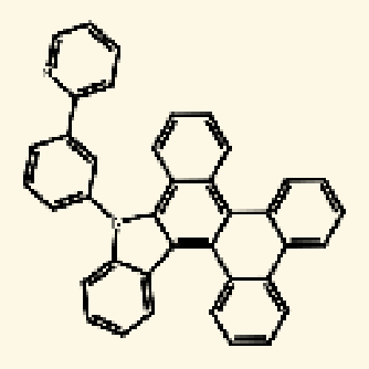 c1ccc(-c2cccc(-n3c4ccccc4c4c5c6ccccc6c6ccccc6c5c5ccccc5c43)c2)nc1